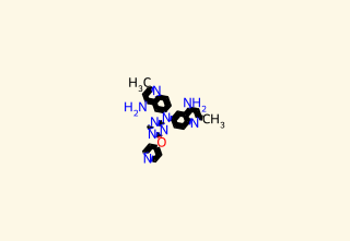 Cc1cc(N)c2cc(N(c3ccc4nc(C)cc(N)c4c3)c3ncnc(Oc4ccncc4)n3)ccc2n1